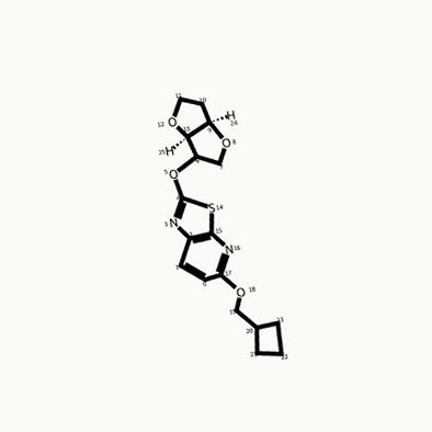 c1cc2nc(OC3CO[C@@H]4CCO[C@H]34)sc2nc1OCC1CCC1